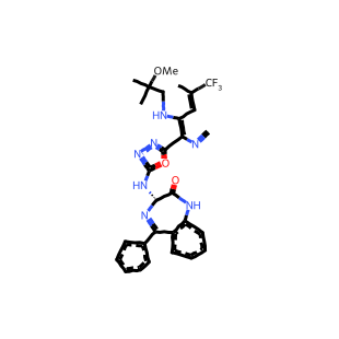 C=N/C(=C(\C=C(/C)C(F)(F)F)NCC(C)(C)OC)c1nnc(N[C@H]2N=C(c3ccccc3)c3ccccc3NC2=O)o1